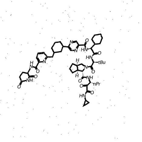 CCC[C@@H](NC(=O)[C@@H]1[C@H]2CCC[C@H]2CN1C(=O)[C@@H](NC(=O)[C@@H](NC(=O)c1cnc(C2CCCC(Cc3cccc(C(=O)NC4CCC(=O)NC4=O)n3)C2)cn1)C1CCCCC1)C(C)(C)C)C(=O)C(=O)NC1CC1